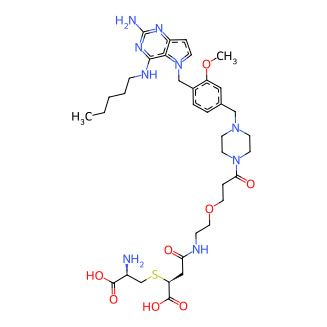 CCCCCNc1nc(N)nc2ccn(Cc3ccc(CN4CCN(C(=O)CCOCCNC(=O)C[C@H](SC[C@H](N)C(=O)O)C(=O)O)CC4)cc3OC)c12